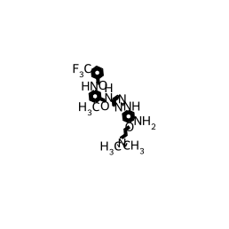 Cc1ccc(NC(=O)c2cccc(C(F)(F)F)c2)cc1C(=O)Nc1cnc(Nc2ccc(OCCCN(C)C)c(N)c2)nc1